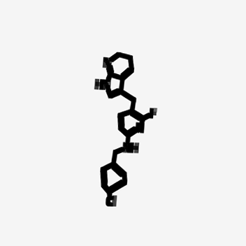 Fc1nc(NCc2ccc(Cl)cc2)ccc1Cc1c[nH]c2c1=CCCN=2